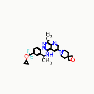 Cc1nnc(N[C@H](C)c2cccc(C(F)(F)OC3CC3)c2)c2cc(N3CCC4(CC3)COC4)cnc12